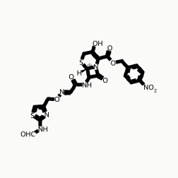 O=CNc1nc(CON=CC(=O)NC2C(=O)N3C(C(=O)OCc4ccc([N+](=O)[O-])cc4)=C(O)CS[C@@H]23)cs1